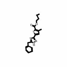 CCCCOC(=O)c1sc(-c2n[nH]c(Cc3ccccc3)n2)cc1C